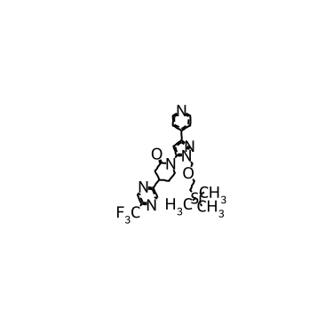 C[Si](C)(C)CCOCn1nc(-c2ccncc2)cc1N1CCC(c2cnc(C(F)(F)F)cn2)CC1=O